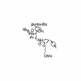 CCCCNC(=O)[C@@H](C[C@H](O)[C@H](C[C@H](CNC(=O)c1ccc(CN2CCN(C)CC2)cc1OCCCCOC)C(C)C)NC(=O)OC(C)(C)C)C(C)C